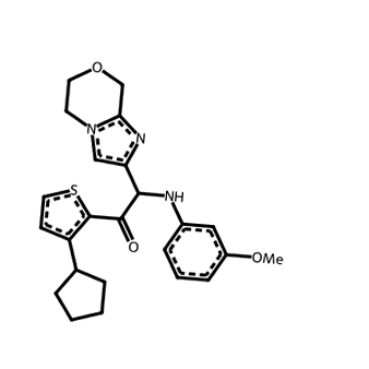 COc1cccc(NC(C(=O)c2sccc2C2CCCC2)c2cn3c(n2)COCC3)c1